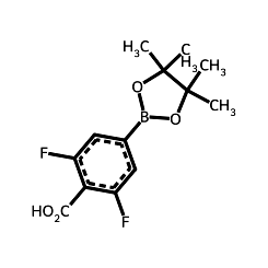 CC1(C)OB(c2cc(F)c(C(=O)O)c(F)c2)OC1(C)C